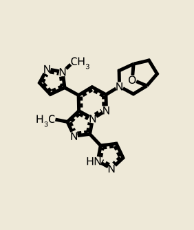 Cc1nc(-c2ccn[nH]2)n2nc(N3CC4CCC(C3)O4)cc(-c3ccnn3C)c12